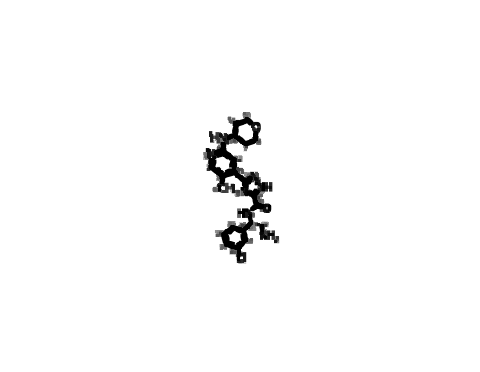 Cc1cnc(NC2CCOCC2)cc1-c1n[nH]c(C(=O)N[C@H](CN)c2cccc(Cl)c2)n1